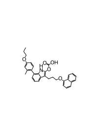 CCCOc1ccc(-c2cccc3c(CCCOc4cccc5ccccc45)c(OC(=O)O)[nH]c23)c(C)c1